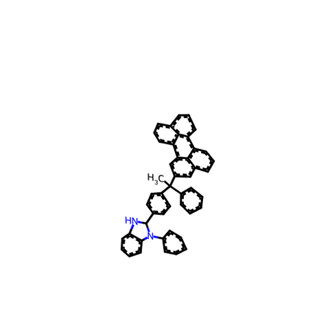 CC(c1ccccc1)(c1ccc(C2Nc3ccccc3N2c2ccccc2)cc1)c1cc2cccc3c4cccc5cccc(c(c1)c23)c54